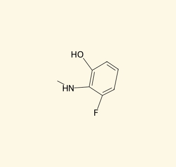 CNc1c(O)cccc1F